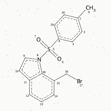 Cc1ccc(S(=O)(=O)n2ccc3cccc(CBr)c32)cc1